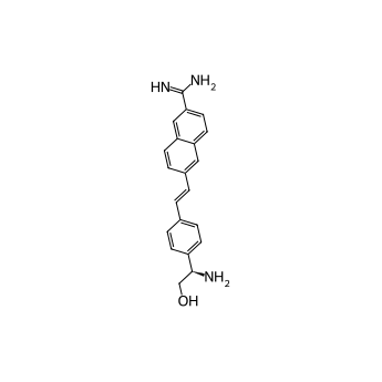 N=C(N)c1ccc2cc(/C=C/c3ccc([C@@H](N)CO)cc3)ccc2c1